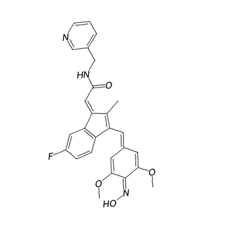 COC1=CC(=CC2=C(C)C(=CC(=O)NCc3cccnc3)c3cc(F)ccc32)C=C(OC)C1=NO